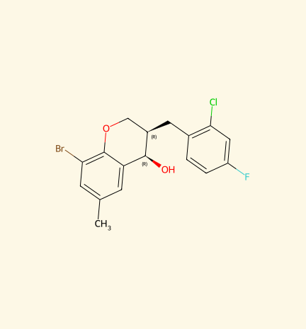 Cc1cc(Br)c2c(c1)[C@H](O)[C@H](Cc1ccc(F)cc1Cl)CO2